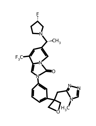 C[C@H](c1cc(C(F)(F)F)c2cn(-c3cccc(C4(Cc5nncn5C)COC4)c3)c(=O)n2c1)N1CC[C@H](F)C1